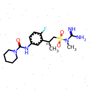 C[C@H](CS(=O)(=O)N(C)C(=N)N)c1cc(NC(=O)N2CCCCC2)ccc1F